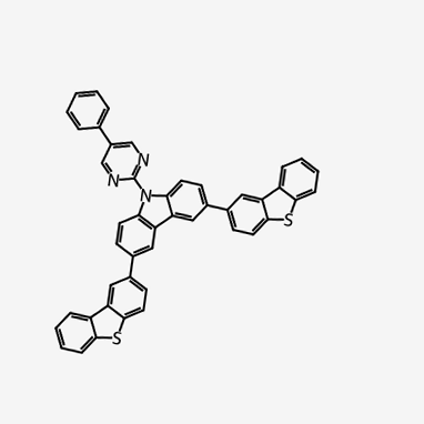 c1ccc(-c2cnc(-n3c4ccc(-c5ccc6sc7ccccc7c6c5)cc4c4cc(-c5ccc6sc7ccccc7c6c5)ccc43)nc2)cc1